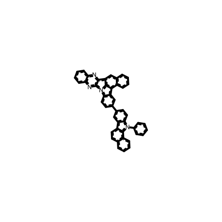 c1ccc(-n2c3ccc(-c4ccc5c(c4)c4c6ccccc6cc6c7nc8ccccc8nc7n5c64)cc3c3ccc4ccccc4c32)cc1